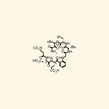 CCCCC(NC(=O)[C@H](CC(C)C)NC(=O)[C@@H](NC(=O)CNc1ccccc1C(=O)[C@H](CCC(=O)O)NC(=O)[C@H](CC(=O)O)NC(=O)CCC(=O)O)C(C)(C)C)C(=O)C(N)=O